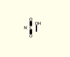 CO.O=C=O.[N]